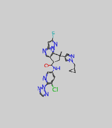 CC1(c2cnn(CC3CC3)c2)CC(C(=O)Nc2cnc(-n3nccn3)c(Cl)c2)c2cnc3cc(F)nn3c21